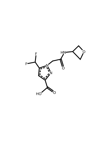 O=C(Cn1nc(C(=O)O)cc1C(F)F)NC1COC1